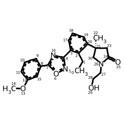 CCc1c(-c2noc(-c3cccc(OC)c3)n2)cccc1[C@@]1(C)CC(=O)N(CCO)C1